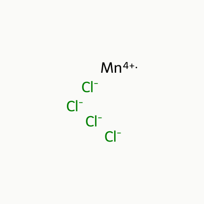 [Cl-].[Cl-].[Cl-].[Cl-].[Mn+4]